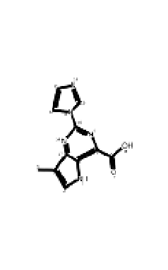 Cc1c[nH]c2c(C(=O)O)nc(-n3ccnc3)nc12